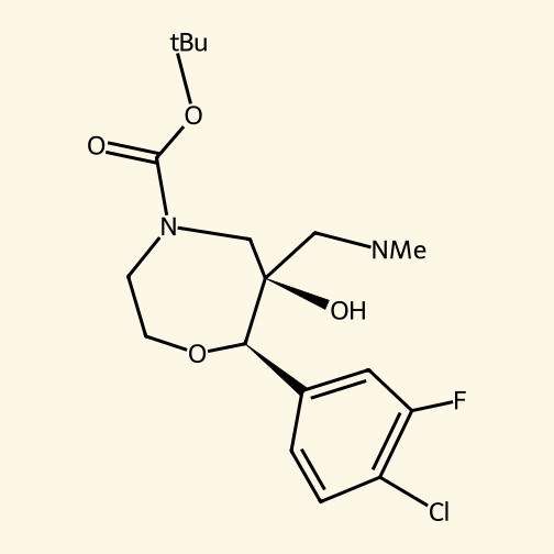 CNC[C@@]1(O)CN(C(=O)OC(C)(C)C)CCO[C@@H]1c1ccc(Cl)c(F)c1